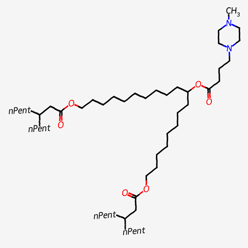 CCCCCC(CCCCC)CC(=O)OCCCCCCCCCCC(CCCCCCCCOC(=O)CC(CCCCC)CCCCC)OC(=O)CCCN1CCN(C)CC1